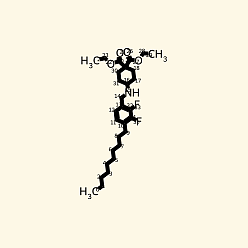 CCCCCCCCCCc1ccc(CNC2CCC(C(=O)OCC)(C(=O)OCC)CC2)c(F)c1F